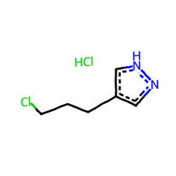 Cl.ClCCCc1cn[nH]c1